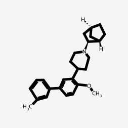 COc1ccc(-c2cccc(C)c2)cc1C1CCN([C@H]2C[C@H]3CC[C@H]2C3)CC1